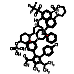 Cc1c(C(=O)O)c(-c2cccc(N3CCN(c4ccc(N5CCCO[P@]5(=O)c5ccc(N[C@H](CCN6CCC(OP(=O)(O)O)CC6)CSc6ccccc6)c(S(=O)(=O)C(F)(F)F)c5)cc4)CC3)c2)c(-c2ccc(Cl)cc2)n1C(C)C